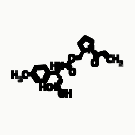 C=CC(=O)N1CCC[C@@H]1COC(=O)N[C@H](CB(O)O)c1ccc(C)cc1